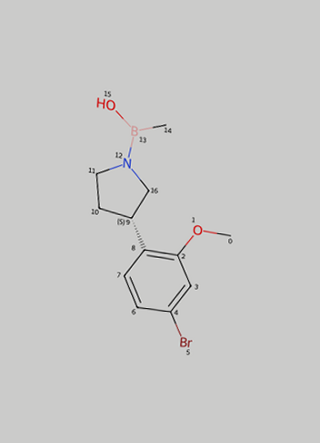 COc1cc(Br)ccc1[C@@H]1CCN(B(C)O)C1